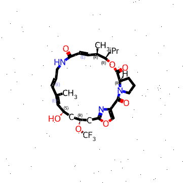 CC1=C\[C@@H](O)C[C@@H](OC(F)(F)F)Cc2nc(co2)C(=O)N2CCC[C@@H]2C(=O)O[C@H](C(C)C)[C@H](C)/C=C/C(=O)NC\C=C\1